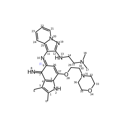 Cc1[nH]c2c(c1C)C(=N)/C(=N/c1c(NCCN(C)C)nn3ccccc13)C=C2OCCN1CCOCC1